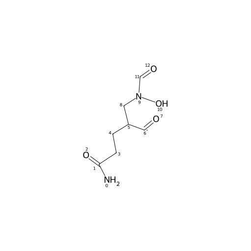 NC(=O)CCC([C]=O)CN(O)C=O